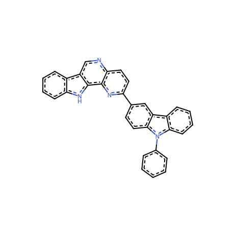 c1ccc(-n2c3ccccc3c3cc(-c4ccc5ncc6c7ccccc7[nH]c6c5n4)ccc32)cc1